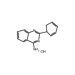 Cl.Nc1nc(C2C=CC=CC2)nc2ccccc12